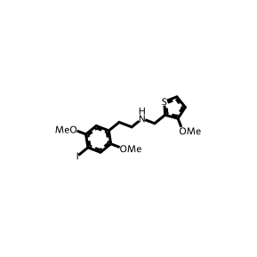 COc1cc(CCNCc2sccc2OC)c(OC)cc1I